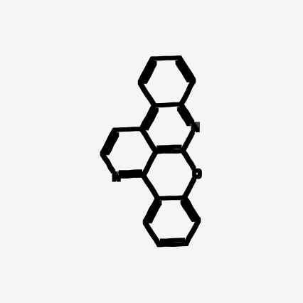 c1ccc2c(c1)Oc1nc3ccccc3c3ccnc-2c13